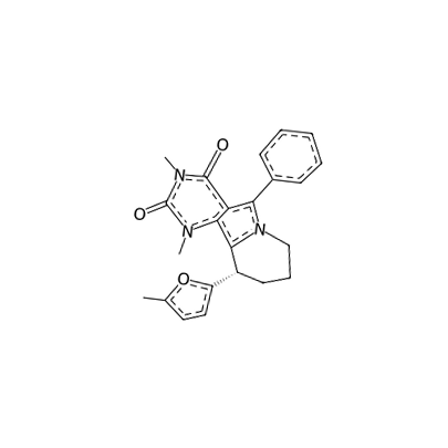 Cc1ccc([C@H]2CCCn3c(-c4ccccc4)c4c(=O)n(C)c(=O)n(C)c4c32)o1